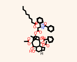 CCCCCCCCC(=O)O[C@@H](C(=O)O[C@H]1C[C@@]2(O)[C@@H](OC(=O)c3ccccc3)C3[C@](C)(C(=O)[C@H](OC(C)=O)C(=C1C)C2(C)C)[C@@H](O)C[C@H]1CC[C@@]31OC(C)=O)[C@@H](NC(=O)c1ccccc1)c1ccccc1